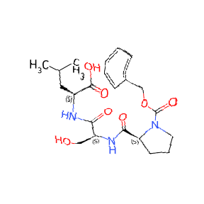 CC(C)C[C@H](NC(=O)[C@H](CO)NC(=O)[C@@H]1CCCN1C(=O)OCc1ccccc1)C(=O)O